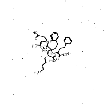 NCCCC[C@H](N[C@]1(NC(CCc2ccccc2)C(=O)O)CCc2ccccc2[N+](CC(=O)O)(CC(=O)O)C1=O)C(=O)O